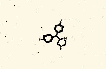 Fc1ccc(C(c2ccc(F)cc2)C2CNCCN2)cc1